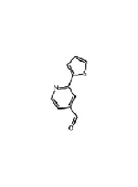 O=Cc1ccnc(-c2cccs2)c1